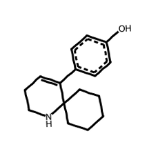 Oc1ccc(C2=CCCNC23CCCCC3)cc1